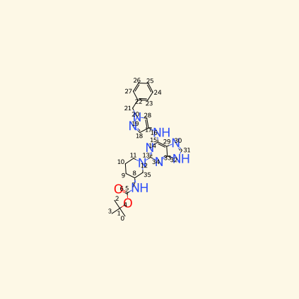 CC(C)(C)OC(=O)N[C@H]1CCCN(c2nc(Nc3cnn(Cc4ccccc4)c3)c3nc[nH]c3n2)C1